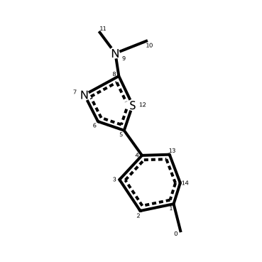 Cc1ccc(-c2cnc(N(C)C)s2)cc1